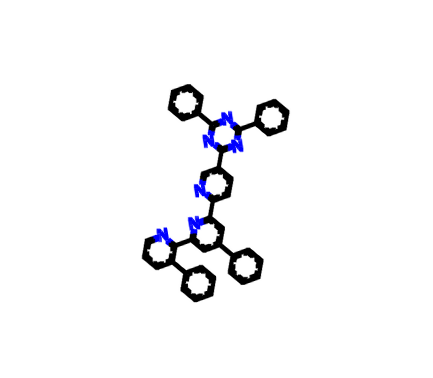 c1ccc(-c2cc(-c3ccc(-c4nc(-c5ccccc5)nc(-c5ccccc5)n4)cn3)nc(-c3ncccc3-c3ccccc3)c2)cc1